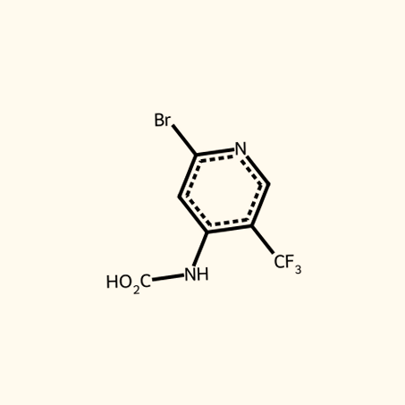 O=C(O)Nc1cc(Br)ncc1C(F)(F)F